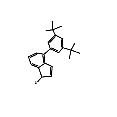 [Li][CH]1C=Cc2c(-c3cc(C(C)(C)C)cc(C(C)(C)C)c3)cccc21